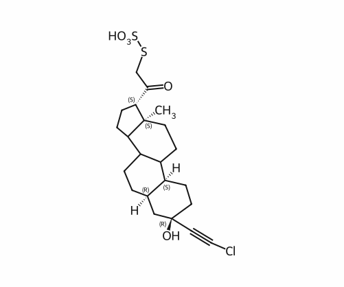 C[C@]12CCC3C(CC[C@@H]4C[C@@](O)(C#CCl)CC[C@H]34)C1CC[C@@H]2C(=O)CSS(=O)(=O)O